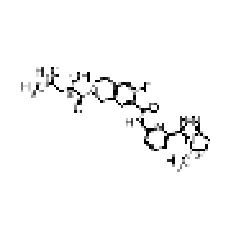 CC(C)C[C@H](O)C(=O)N1CCc2cc(F)c(C(=O)Nc3cccc(-c4nnc5n4[C@@H](C)CC5)n3)cc2C1